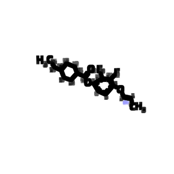 C/C=C/Oc1ccc(OC(=O)C2CCC(CC)CC2)c(F)c1F